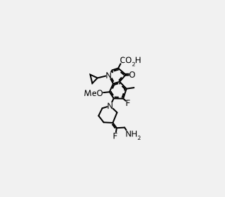 COc1c(N2CCC/C(=C(\F)CN)C2)c(F)c(C)c2c(=O)c(C(=O)O)cn(C3CC3)c12